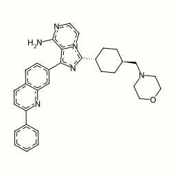 Nc1nccn2c1c(-c1ccc3ccc(-c4ccccc4)nc3c1)nc2[C@H]1CC[C@H](CN2CCOCC2)CC1